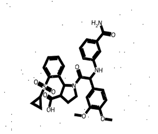 COc1ccc(C(Nc2cccc(C(N)=O)c2)C(=O)N2CCC(C(=O)O)C2c2ccccc2S(=O)(=O)C2CC2)cc1OC